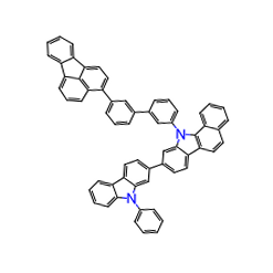 c1ccc(-n2c3ccccc3c3ccc(-c4ccc5c6ccc7ccccc7c6n(-c6cccc(-c7cccc(-c8ccc9c%10c(cccc8%10)-c8ccccc8-9)c7)c6)c5c4)cc32)cc1